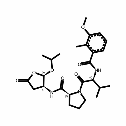 COc1cccc(C(=O)N[C@H](C(=O)N2CCC[C@H]2C(=O)N[C@H]2CC(=O)O[C@H]2OC(C)C)C(C)C)c1C